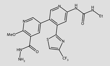 CCNC(=O)Nc1cc(-c2nc(C(F)(F)F)cs2)c(-c2cnc(OC)c(C(=O)NN)c2)cn1